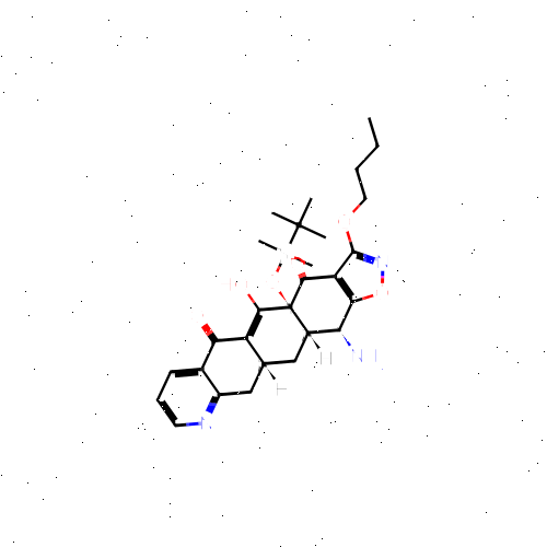 CCCCOc1noc2c1C(=O)[C@@]1(O[Si](C)(C)C(C)(C)C)C(O)=C3C(=O)c4cccnc4C[C@H]3C[C@H]1[C@@H]2N